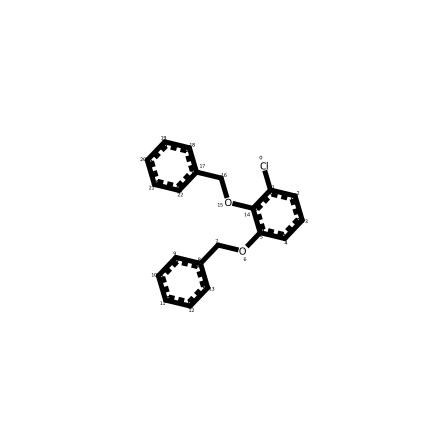 Clc1cccc(OCc2ccccc2)c1OCc1ccccc1